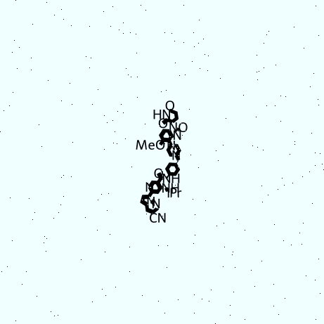 COc1ccc2c(c1N1CCN(C[C@H]3CC[C@H](NC(=O)c4cnc(-c5ccc6cc(C#N)cnn56)cc4NC(C)C)CC3)CC1)n(C)c(=O)n2C1CCC(=O)NC1=O